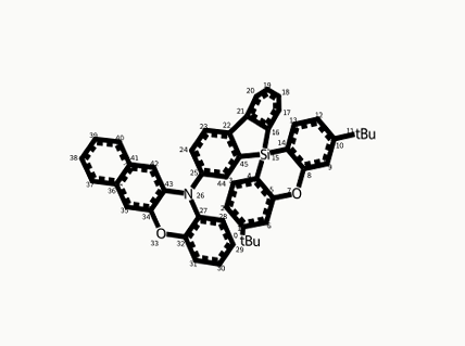 CC(C)(C)c1ccc2c(c1)Oc1cc(C(C)(C)C)ccc1[Si]21c2ccccc2-c2ccc(N3c4ccccc4Oc4cc5ccccc5cc43)cc21